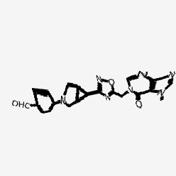 Cn1cnc2ncn(Cc3nc(C4C5CN(c6ccc(C=O)cc6)CC54)no3)c(=O)c21